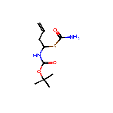 C=CCC(NC(=O)OC(C)(C)C)SC(N)=O